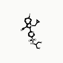 N#Cc1c(-c2ccc(S(=O)(=O)NC(CF)CF)cn2)n(CC2CC2)c2cc(F)ccc12